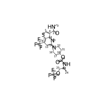 CNC(=O)c1csc2c(C(F)(F)F)cc(N3CCC(OC(=O)N[C@@H](C)COC(F)(F)F)CC3)nc12